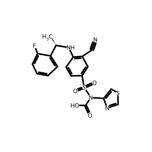 C[C@H](Nc1ccc(S(=O)(=O)N(C(=O)O)c2cscn2)cc1C#N)c1ccccc1F